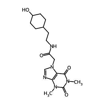 Cn1c(=O)c2c(ncn2CC(=O)NCCC2CCC(O)CC2)n(C)c1=O